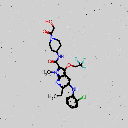 CCc1nc2c(cc1Nc1ccccc1Cl)c(OCC(F)(F)F)c(C(=O)NC1CCN(C(=O)CO)CC1)n2C